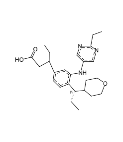 CCc1ncc(Nc2cc(C(CC)CC(=O)O)ccc2[C@@H](CC)C2CCOCC2)cn1